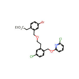 CCOC(=O)Cc1ccc(Br)cc1COCCc1cc(Cl)ccc1COc1cccc(Cl)n1